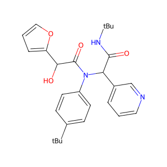 CC(C)(C)NC(=O)C(c1cccnc1)N(C(=O)C(O)c1ccco1)c1ccc(C(C)(C)C)cc1